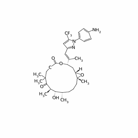 C/C(=C\c1cc(C(F)(F)F)n(-c2ccc(N)cc2)n1)[C@@H]1C[C@@H]2O[C@]2(C)CCC[C@H](C)[C@H](O)[C@@H](C)C(=O)C(C)(C)CCC(=O)O1